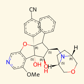 COc1cncc2c1[C@]1(O)[C@H](O)[C@H](CN3[C@@H]4CC[C@H]3COC4)C(c3ccccc3)[C@]1(c1ccc(C#N)cc1)O2